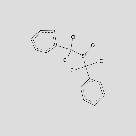 [O-][S+](C(Cl)(Cl)c1ccccc1)C(Cl)(Cl)c1ccccc1